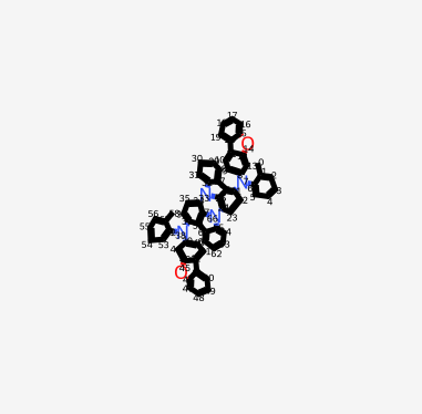 Cc1ccccc1N(c1ccc2c(c1)oc1ccccc12)c1ccc2c3c1c1ccccc1n3c1ccc(N(c3ccc4c(c3)oc3ccccc34)c3ccccc3C)c3c4ccccc4n2c31